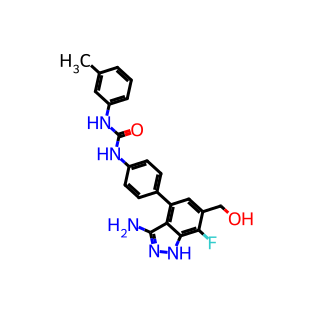 Cc1cccc(NC(=O)Nc2ccc(-c3cc(CO)c(F)c4[nH]nc(N)c34)cc2)c1